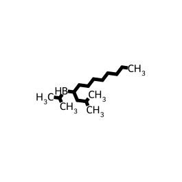 CCCCCCCCC(BC(C)C)CC(C)C